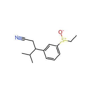 CC[S+]([O-])c1cccc(C(CC#N)C(C)C)c1